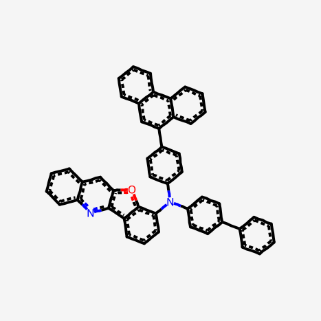 c1ccc(-c2ccc(N(c3ccc(-c4cc5ccccc5c5ccccc45)cc3)c3cccc4c3oc3cc5ccccc5nc34)cc2)cc1